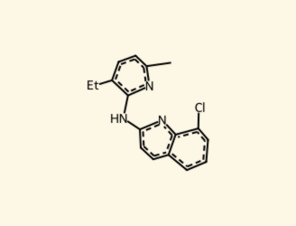 CCc1ccc(C)nc1Nc1ccc2cccc(Cl)c2n1